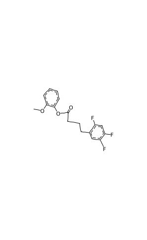 COc1ccccc1OC(=O)CCCc1cc(F)c(F)cc1F